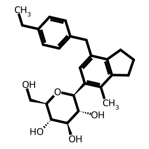 CCc1ccc(Cc2cc([C@@H]3O[C@H](CO)[C@@H](O)[C@H](O)[C@H]3O)c(C)c3c2CCC3)cc1